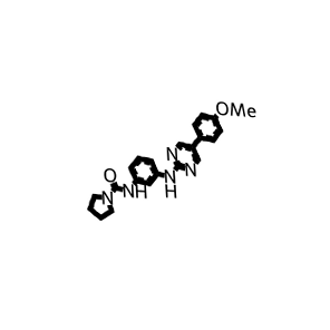 COc1ccc(-c2cnc(Nc3cccc(NC(=O)N4CCCC4)c3)nc2)cc1